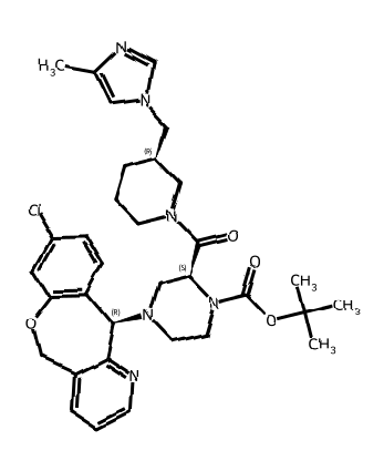 Cc1cn(C[C@@H]2CCCN(C(=O)[C@@H]3CN([C@@H]4c5ccc(Cl)cc5OCc5cccnc54)CCN3C(=O)OC(C)(C)C)C2)cn1